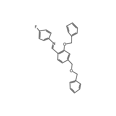 Fc1ccc(N=Cc2ccc(COCc3ccccc3)cc2OCc2ccccc2)cc1